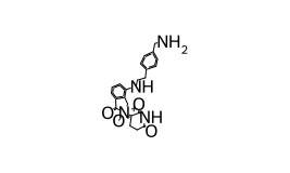 NCc1ccc(CCNc2cccc3c2C[N+]([O-])(C2CCC(=O)NC2=O)C3=O)cc1